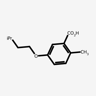 Cc1ccc(OCCC(C)C)cc1C(=O)O